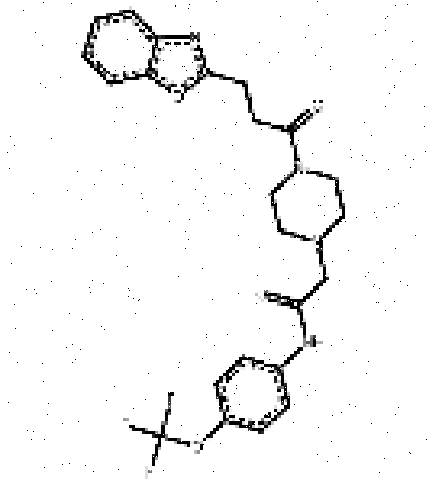 O=C(CN1CCN(C(=O)CCc2nc3ccccc3o2)CC1)Nc1ccc(OC(F)(F)F)cc1